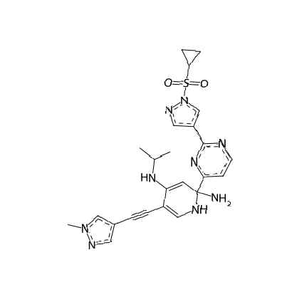 CC(C)NC1=CC(N)(c2ccnc(-c3cnn(S(=O)(=O)C4CC4)c3)n2)NC=C1C#Cc1cnn(C)c1